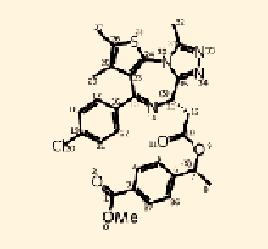 COC(=O)c1ccc([C@H](C)OC(=O)C[C@@H]2N=C(c3ccc(Cl)cc3)c3c(sc(C)c3C)-n3c(C)nnc32)cc1